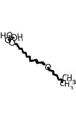 CC(C)CCCCCOCCCCCCCCCCCCOP(=O)(O)O